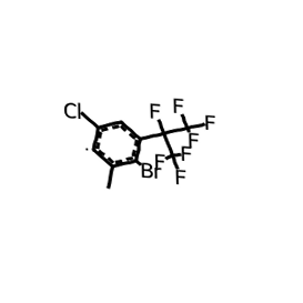 Cc1[c]c(Cl)cc(C(F)(C(F)(F)F)C(F)(F)F)c1Br